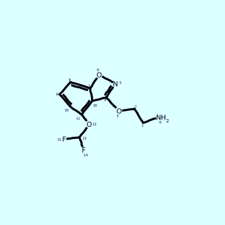 NCCOc1noc2cccc(OC(F)F)c12